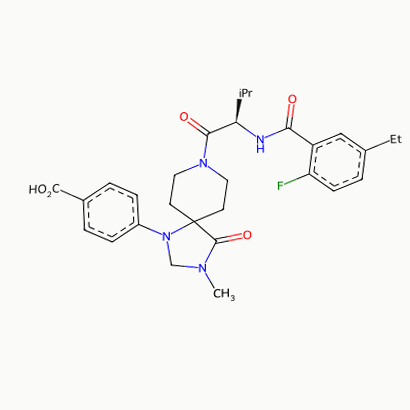 CCc1ccc(F)c(C(=O)N[C@@H](C(=O)N2CCC3(CC2)C(=O)N(C)CN3c2ccc(C(=O)O)cc2)C(C)C)c1